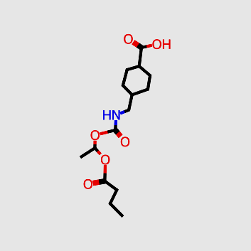 CCCC(=O)OC(C)OC(=O)NCC1CCC(C(=O)O)CC1